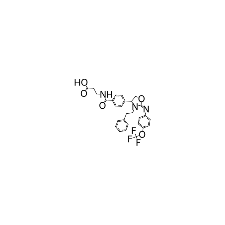 O=C(O)CCNC(=O)c1ccc(C2COC(=Nc3ccc(OC(F)(F)F)cc3)N2CCc2ccccc2)cc1